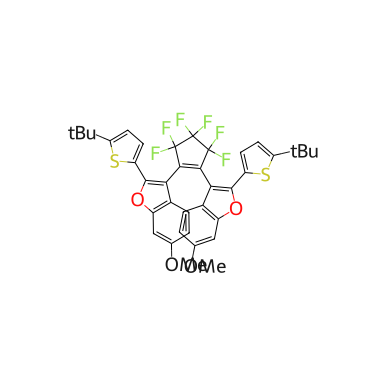 COc1ccc2c(C3=C(c4c(-c5ccc(C(C)(C)C)s5)oc5cc(OC)ccc45)C(F)(F)C(F)(F)C3(F)F)c(-c3ccc(C(C)(C)C)s3)oc2c1